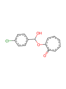 O=c1cccccc1OC(O)c1ccc(Cl)cc1